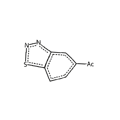 CC(=O)c1ccc2snnc2c1